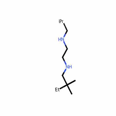 CCC(C)(C)CNCCNCC(C)C